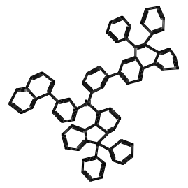 c1ccc(-c2c(-c3ccccc3)c3cc(-c4cccc(N(c5cccc(-c6cccc7ccccc67)c5)c5cccc6c5-c5ccccc5C6(c5ccccc5)c5ccccc5)c4)ccc3c3ccccc23)cc1